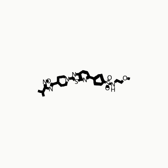 COCCNS(=O)(=O)c1ccc(-c2ccc3nc(N4CCC(c5nc(C(C)C)no5)CC4)sc3n2)cc1